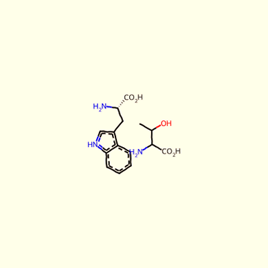 CC(O)C(N)C(=O)O.N[C@@H](Cc1c[nH]c2ccccc12)C(=O)O